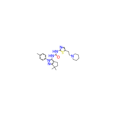 Cc1ccc(-n2nc3c(c2NC(=O)Nc2ncc(CCN4CCCCC4)s2)CCC3(C)C)cc1